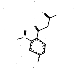 CC(=O)CC(=O)c1ccc(F)cc1[N+](=O)[O-]